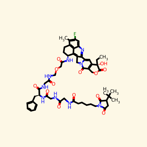 CC[C@@]1(O)C(=O)OCc2c1cc1n(c2=O)Cc2c-1nc1cc(F)c(C)c3c1c2[C@@H](NC(=O)COCNC(=O)CNC(=O)[C@H](Cc1ccccc1)NC(=O)CNC(=O)CNC(=O)CCCCCN1C(=O)CC(C(C)(C)C)C1=O)CC3